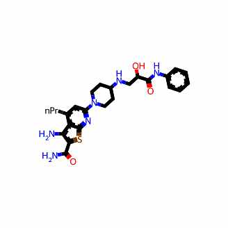 CCCc1cc(N2CCC(NCC(O)C(=O)Nc3ccccc3)CC2)nc2sc(C(N)=O)c(N)c12